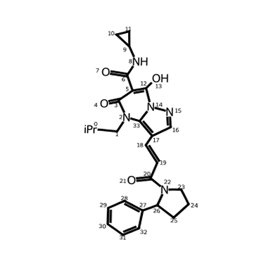 CC(C)Cn1c(=O)c(C(=O)NC2CC2)c(O)n2ncc(C=CC(=O)N3CCCC3c3ccccc3)c12